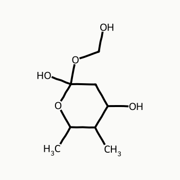 CC1OC(O)(OCO)CC(O)C1C